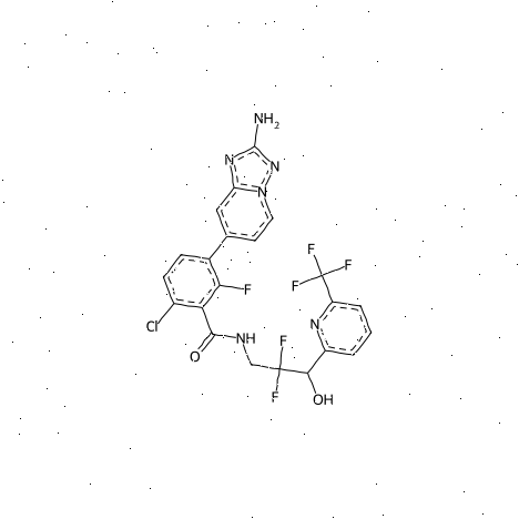 Nc1nc2cc(-c3ccc(Cl)c(C(=O)NCC(F)(F)C(O)c4cccc(C(F)(F)F)n4)c3F)ccn2n1